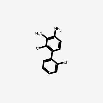 Nc1ccc(-c2ccccc2Cl)c(Cl)c1N